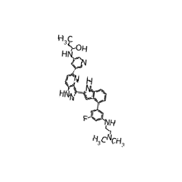 CCC(O)Nc1cncc(-c2ccc3[nH]nc(-c4cc5c(-c6cc(F)cc(NCCN(C)C)c6)cccc5[nH]4)c3n2)c1